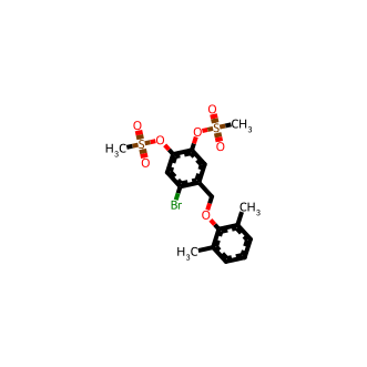 Cc1cccc(C)c1OCc1cc(OS(C)(=O)=O)c(OS(C)(=O)=O)cc1Br